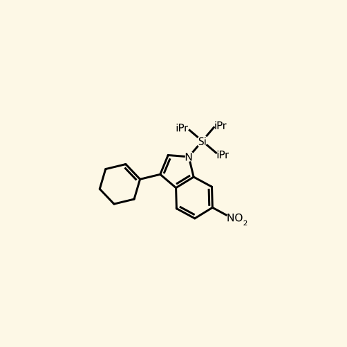 CC(C)[Si](C(C)C)(C(C)C)n1cc(C2=CCCCC2)c2ccc([N+](=O)[O-])cc21